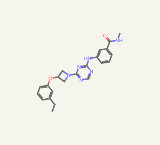 CCc1cccc(OC2CN(c3ncnc(Nc4cccc(C(=O)NC)c4)n3)C2)c1